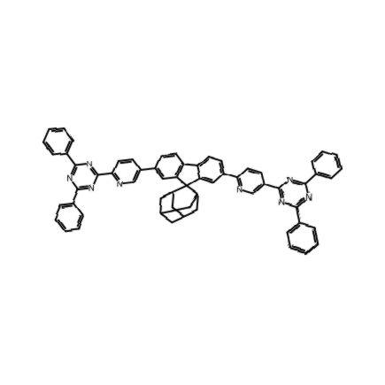 c1ccc(-c2nc(-c3ccccc3)nc(-c3ccc(-c4ccc5c(c4)C4(c6cc(-c7ccc(-c8nc(-c9ccccc9)nc(-c9ccccc9)n8)nc7)ccc6-5)C5CC6CC(C5)CC4C6)nc3)n2)cc1